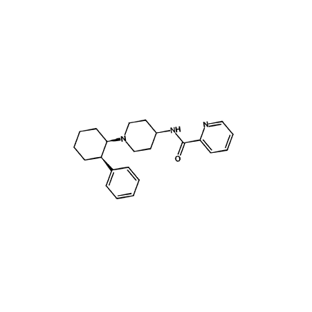 O=C(NC1CCN([C@@H]2CCCC[C@@H]2c2ccccc2)CC1)c1ccccn1